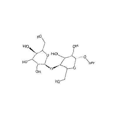 CCCO[C@@H]1OC(CO)[C@@H](O[C@@H]2OC(CO)[C@H](O)C(O)C2O)C(O)C1O